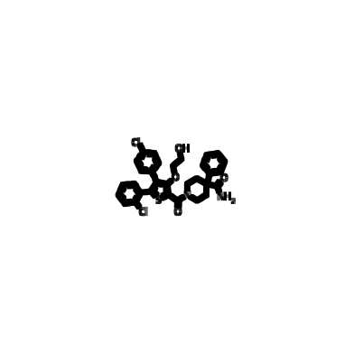 NC(=O)C1(c2ccccc2)CCN(C(=O)c2sc(-c3ccccc3Cl)c(-c3ccc(Cl)cc3)c2OCCO)CC1